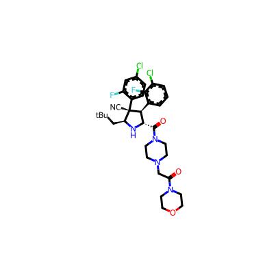 CC(C)(C)C[C@@H]1N[C@@H](C(=O)N2CCN(CC(=O)N3CCOCC3)CC2)[C@H](c2cccc(Cl)c2F)[C@@]1(C#N)c1ccc(Cl)cc1F